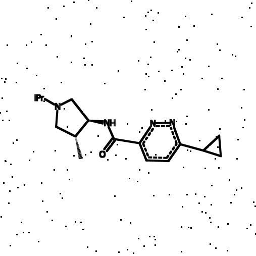 CC(C)N1C[C@@H](C)[C@H](NC(=O)c2ccc(C3CC3)nn2)C1